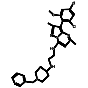 COc1cc(Cl)cc(Cl)c1-c1c(C)nn2c(NCCNC3CCN(Cc4ccccc4)CC3)cc(C)nc12